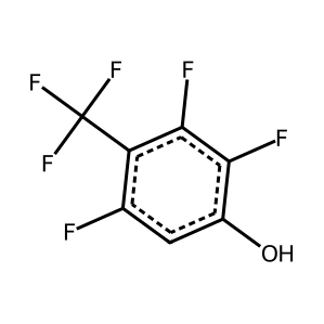 Oc1cc(F)c(C(F)(F)F)c(F)c1F